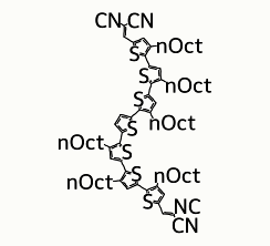 [C-]#[N+]/C(C#N)=C\c1cc(CCCCCCCC)c(-c2cc(CCCCCCCC)c(-c3cc(CCCCCCCC)c(-c4ccc(-c5sc(-c6sc(-c7sc(/C=C(\C#N)[N+]#[C-])cc7CCCCCCCC)cc6CCCCCCCC)cc5CCCCCCCC)s4)s3)s2)s1